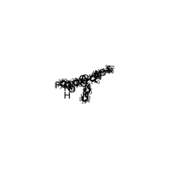 Cc1cc(C(=O)[C@@H](CN2CCC(N3CCCCC3)CC2)OC(=O)N2CCC(N3Cc4ccc(F)cc4NC3=O)CC2)cc2cn(COCC[Si](C)(C)C)nc12